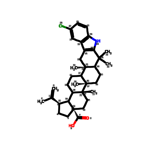 C=C(C)[C@@H]1CC[C@]2(C(=O)O)CC[C@]3(C)C(CCC4[C@@]5(C)Cc6c([nH]c7ccc(Cl)cc67)C(C)(C)C5CC[C@]43C)C12